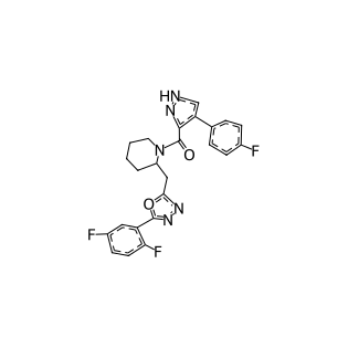 O=C(c1n[nH]cc1-c1ccc(F)cc1)N1CCCCC1Cc1nnc(-c2cc(F)ccc2F)o1